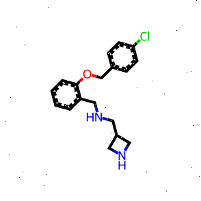 Clc1ccc(COc2ccccc2CNCC2CNC2)cc1